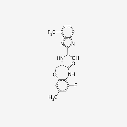 Cc1cc(F)c2c(c1)OC[C@H](NC(O)c1nc3cccc(C(F)(F)F)n3n1)C(=O)N2